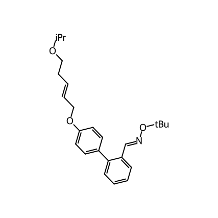 CC(C)OCC/C=C/COc1ccc(-c2ccccc2/C=N/OC(C)(C)C)cc1